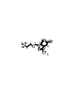 C[Si](C)(C)CCOCn1nc(C(F)(F)F)c2cc(Br)ncc21